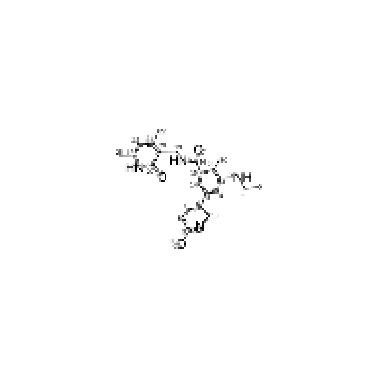 CCNc1cc(-c2ccc(OC)nc2)cc(C(=O)NCc2c(C)cc(C)[nH]c2=O)c1C